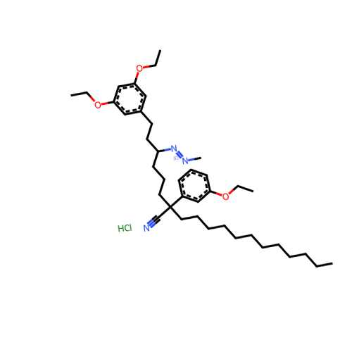 CCCCCCCCCCCCC(C#N)(CCCC(CCc1cc(OCC)cc(OCC)c1)/N=N/C)c1cccc(OCC)c1.Cl